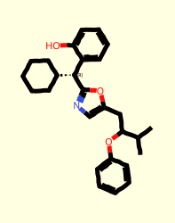 C[C](C)C(Cc1cnc([C@@H](c2ccccc2O)C2CCCCC2)o1)Oc1ccccc1